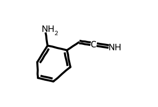 N=C=Cc1ccccc1N